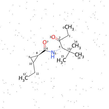 CCC(=O)[C@@H](NC(=O)[C@@H]1CC1CC)C(C)(C)C